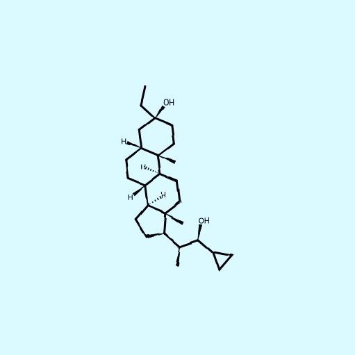 CC[C@]1(O)CC[C@@]2(C)[C@H](CC[C@@H]3[C@@H]2CC[C@]2(C)[C@@H]([C@H](C)[C@@H](O)C4CC4)CC[C@@H]32)C1